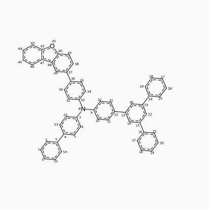 c1ccc(-c2ccc(N(c3ccc(-c4cc(-c5ccccc5)cc(-c5ccccc5)c4)cc3)c3ccc(-c4ccc5oc6ccccc6c5c4)cc3)cc2)cc1